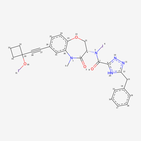 CN1C(=O)[C@@H](N(I)C(=O)c2nnc(Cc3ccccc3)[nH]2)COc2ccc(C#CC3(OI)CCC3)cc21